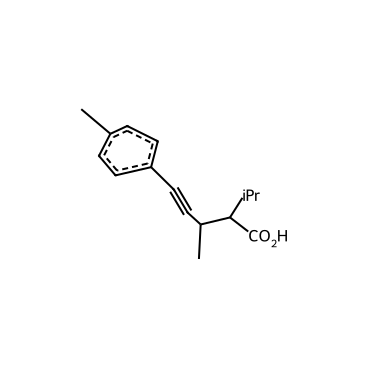 Cc1ccc(C#CC(C)C(C(=O)O)C(C)C)cc1